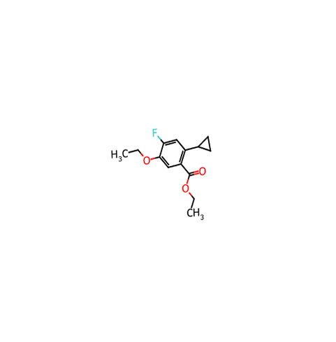 CCOC(=O)c1cc(OCC)c(F)cc1C1CC1